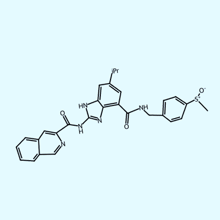 CC(C)c1cc(C(=O)NCc2ccc([S+](C)[O-])cc2)c2nc(NC(=O)c3cc4ccccc4cn3)[nH]c2c1